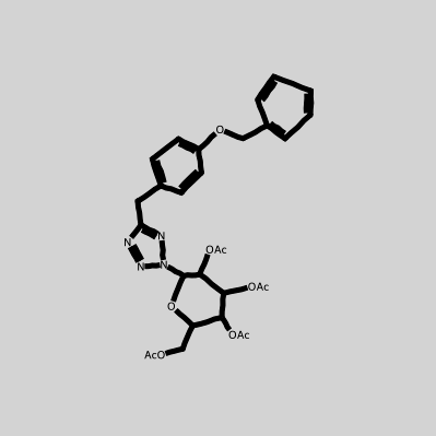 CC(=O)OCC1OC(n2nnc(Cc3ccc(OCc4ccccc4)cc3)n2)C(OC(C)=O)C(OC(C)=O)C1OC(C)=O